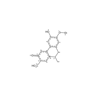 CCOc1cc2c(cc1O)-c1cc(=O)c(C(=O)O)cn1C(C)C2